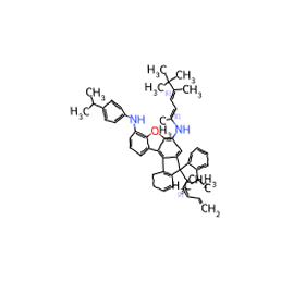 C=C/C=C\C(=C)C1(c2ccccc2C(C)C)C2=C(CCC=C2)c2c1cc(N/C(C)=C/C=C(\C)C(C)(C)C)c1oc3c(Nc4ccc(C(C)C)cc4)cccc3c21